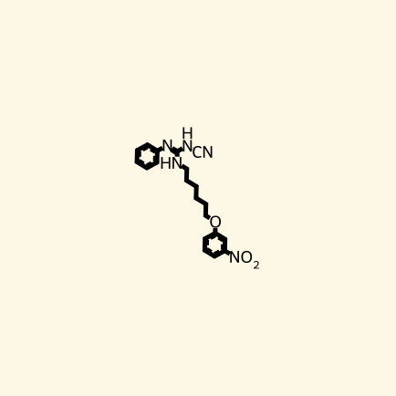 N#CNC(=Nc1ccccc1)NCCCCCCOc1cccc([N+](=O)[O-])c1